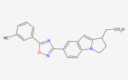 N#Cc1cccc(-c2nc(-c3ccc4c(c3)cc3n4CCC3CC(=O)O)no2)c1